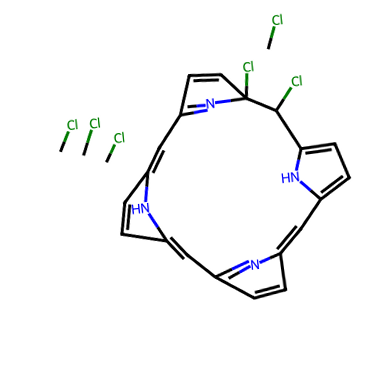 CCl.CCl.CCl.CCl.ClC1c2ccc([nH]2)C=C2C=CC(=N2)C=c2ccc([nH]2)=CC2=NC1(Cl)C=C2